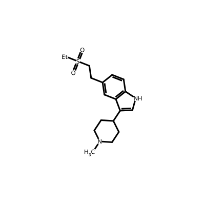 CCS(=O)(=O)CCc1ccc2[nH]cc(C3CCN(C)CC3)c2c1